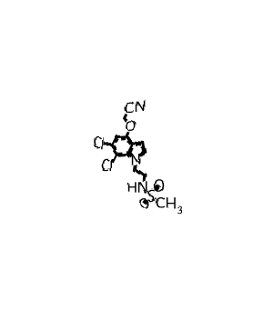 CS(=O)(=O)NCCn1ccc2c(OCC#N)cc(Cl)c(Cl)c21